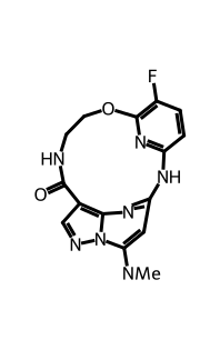 CNc1cc2nc3c(cnn13)C(=O)NCCOc1nc(ccc1F)N2